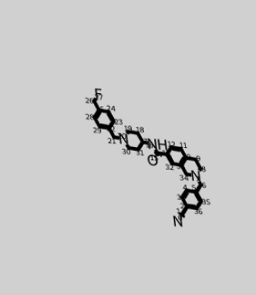 N#Cc1ccc(CN2CCc3ccc(C(=O)NC4CCN(Cc5ccc(CF)cc5)CC4)cc3C2)cc1